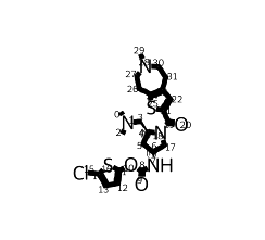 CN(C)C[C@@H]1C[C@@H](NC(=O)Oc2ccc(Cl)s2)CN1C(=O)c1cc2c(s1)CCN(C)CC2